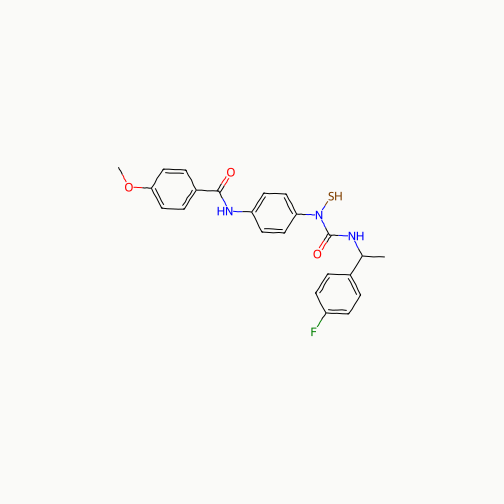 COc1ccc(C(=O)Nc2ccc(N(S)C(=O)NC(C)c3ccc(F)cc3)cc2)cc1